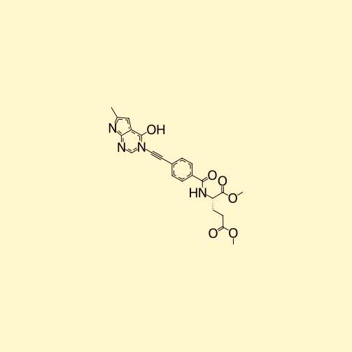 COC(=O)CC[C@H](NC(=O)c1ccc(C#Cn2cnc3nc(C)cc-3c2O)cc1)C(=O)OC